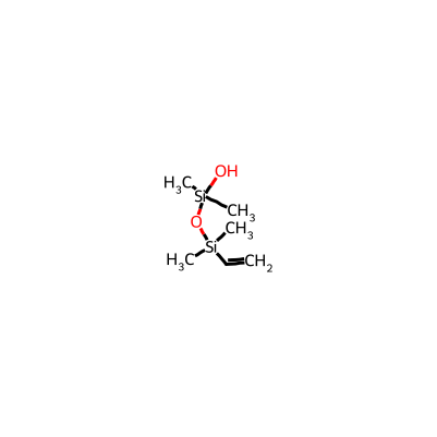 C=C[Si](C)(C)O[Si](C)(C)O